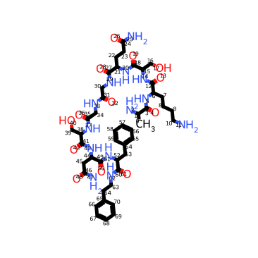 CC(N)C(=O)NC(CCCCN)C(=O)NC(CO)C(=O)NC(CCC(N)=O)C(=O)NCC(=O)NCC(=O)NC(CO)C(=O)NC(CC(N)=O)C(=O)NC(Cc1ccccc1)C(=O)NCCc1ccccc1